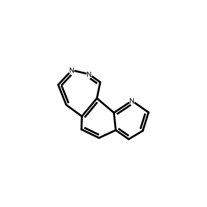 C1=Cc2ccc3cccnc3c2C=NN=1